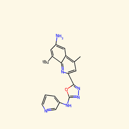 Cc1cc(-c2nnc(Nc3cccnc3)o2)nc2c(C(C)(C)C)cc(N)cc12